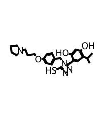 CC(C)c1cc(-c2nnc(S)n2Cc2ccc(OCCCN3CCCC3)cc2)c(O)cc1O